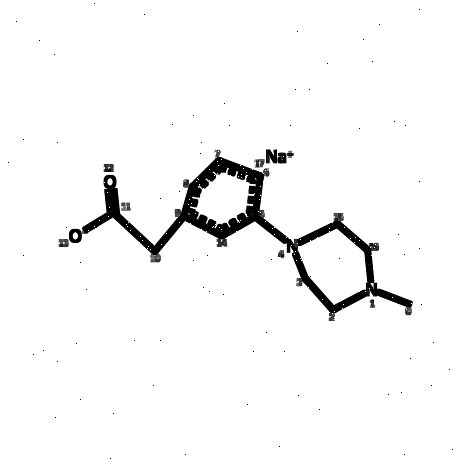 CN1CCN(c2cccc(CC(=O)[O-])c2)CC1.[Na+]